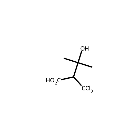 CC(C)(O)C(C(=O)O)C(Cl)(Cl)Cl